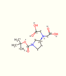 CC(C)(C)OC(=O)N1CC[C@H](N(CC(=O)O)CC(=O)O)C1